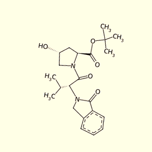 CC(C)[C@H](C(=O)N1C[C@H](O)C[C@H]1C(=O)OC(C)(C)C)N1Cc2ccccc2C1=O